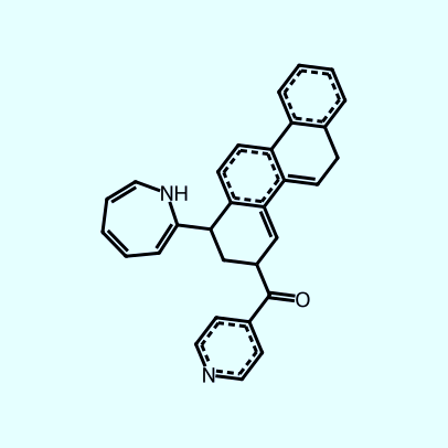 O=C(c1ccncc1)C1C=c2c(ccc3c2=CCc2ccccc2-3)C(C2=CC=CC=CN2)C1